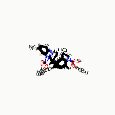 COc1cc(C)c2c(c1C(C)(CC=O)c1nc3ccc(C#N)cc3n1C(=O)OC(C)(C)C)CCN2C(=O)OC(C)(C)C